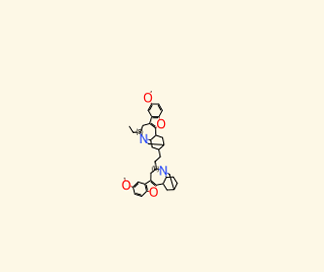 CC[C@H]1Cc2c(oc3ccc(OC)cc23)C2CC3CN1C2CC3CC[C@@H]1Cc2c(oc3ccc(OC)cc23)C2CC3CCC2N1C3